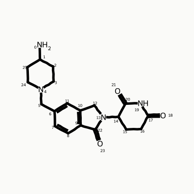 NC1CCN(Cc2ccc3c(c2)CN(C2CCC(=O)NC2=O)C3=O)CC1